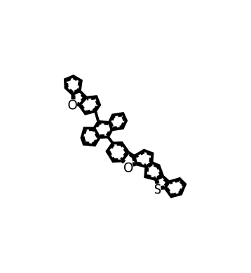 c1ccc2c(c1)oc1cc(-c3c4ccccc4c(-c4ccc5oc6c7cc8sc9ccccc9c8cc7ccc6c5c4)c4ccccc34)ccc12